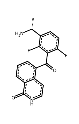 C[C@@H](N)c1ccc(F)c(C(=O)c2cccc3c(=O)[nH]ccc23)c1F